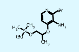 CC(CO[Si](C)(C)C(C)(C)C)Oc1ccnc(C(C)C)c1N